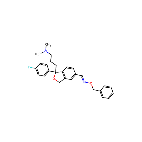 CN(C)CCCC1(c2ccc(F)cc2)OCc2cc(C=NOCc3ccccc3)ccc21